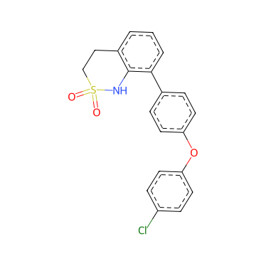 O=S1(=O)CCc2cccc(-c3ccc(Oc4ccc(Cl)cc4)cc3)c2N1